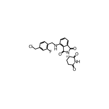 O=C1CC[C@H](N2C(=O)c3cccc(NCc4ccc(CCl)cc4F)c3C2=O)C(=O)N1